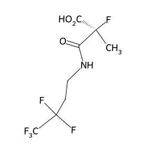 C[C@@](F)(C(=O)O)C(=O)NCCC(F)(F)C(F)(F)F